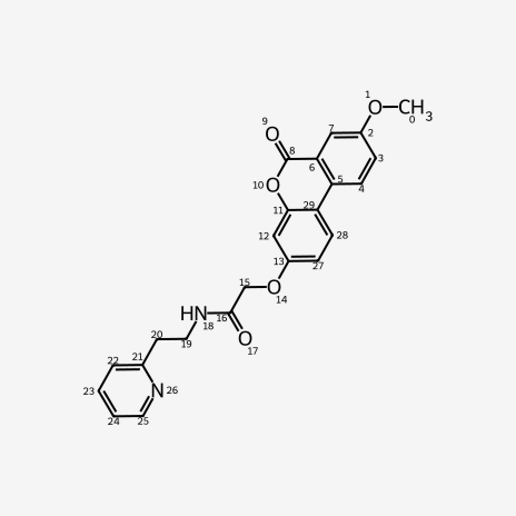 COc1ccc2c(c1)c(=O)oc1cc(OCC(=O)NCCc3ccccn3)ccc12